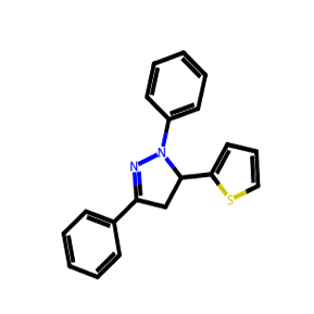 c1ccc(C2=NN(c3ccccc3)C(c3cccs3)C2)cc1